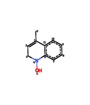 CC1=CCN(O)c2ccccc21